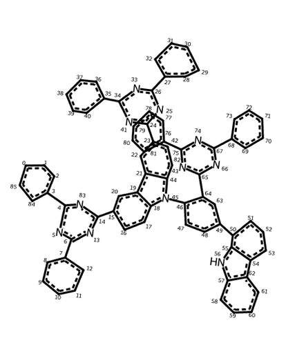 c1ccc(-c2nc(-c3ccccc3)nc(-c3ccc4c(c3)c3cc(-c5nc(-c6ccccc6)nc(-c6ccccc6)n5)ccc3n4-c3ccc(-c4cccc5c4[nH]c4ccccc45)cc3-c3nc(-c4ccccc4)nc(-c4ccccc4)n3)n2)cc1